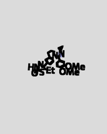 CCC1SC(=O)NN=C1c1ccc2c(c1)CCCN2/C(=N\C1CC1)c1ccc(OC)c(OC)c1